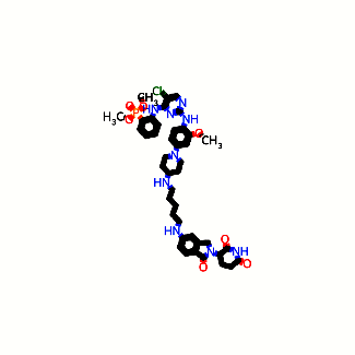 COc1cc(N2CCC(NCCCCCNc3ccc4c(c3)CN(C3CCC(=O)NC3=O)C4=O)CC2)ccc1Nc1ncc(Cl)c(Nc2ccccc2P(=O)(OC)OC)n1